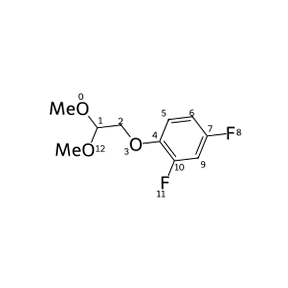 COC(COc1ccc(F)cc1F)OC